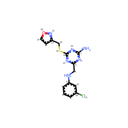 Nc1nc(CNc2cccc(Cl)c2)nc(SCc2ccon2)n1